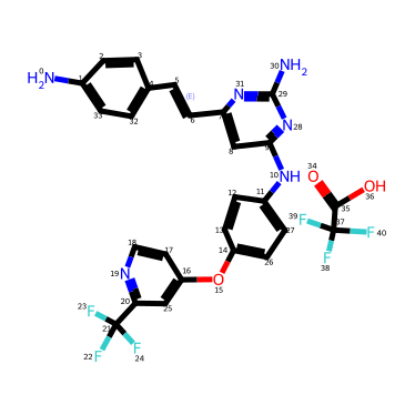 Nc1ccc(/C=C/c2cc(Nc3ccc(Oc4ccnc(C(F)(F)F)c4)cc3)nc(N)n2)cc1.O=C(O)C(F)(F)F